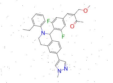 CCc1ccccc1N1CCc2cc(-c3cnn(C)c3)ccc2C1c1c(F)cc(/C=C(/COC)C(C)=O)cc1F